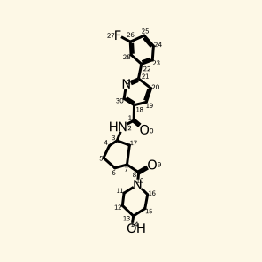 O=C(NC1CCCC(C(=O)N2CCC(O)CC2)C1)c1ccc(-c2cccc(F)c2)nc1